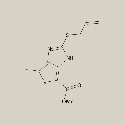 C=CCSc1nc2c(C)sc(C(=O)OC)c2[nH]1